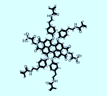 C=C(C)C(=O)NCCc1ccc(Oc2cc3c4c(cc(Oc5ccc(CCNC(=O)C(=C)C)cc5)c5c6c(Oc7ccc(CCNC(=O)C(=C)C)cc7)cc7c8c(cc(Oc9ccc(CCNC(=O)C(=C)C)cc9)c(c2c45)c86)C(=O)N(CC(=O)N(CC)CC)C7=O)C(=O)N(CC(=O)N(CC)CC)C3=O)cc1